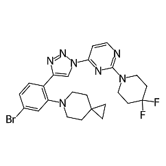 FC1(F)CCN(c2nccc(-n3cc(-c4ccc(Br)cc4N4CCC5(CC4)CC5)nn3)n2)CC1